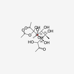 CC(=O)OC(O)(C(C)=O)[C@](C)(O)[C@@](C)(O)[C@](C)(O)[C@@](O)(C(C)=O)C(O)C(C)=O